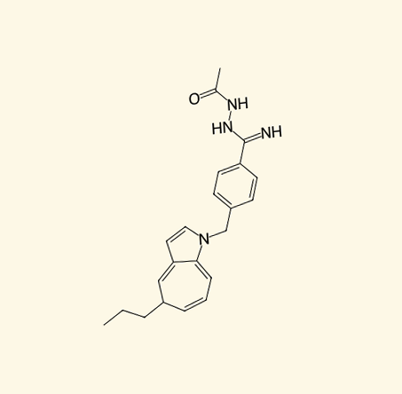 CCCC1C=CC=c2c(ccn2Cc2ccc(C(=N)NNC(C)=O)cc2)=C1